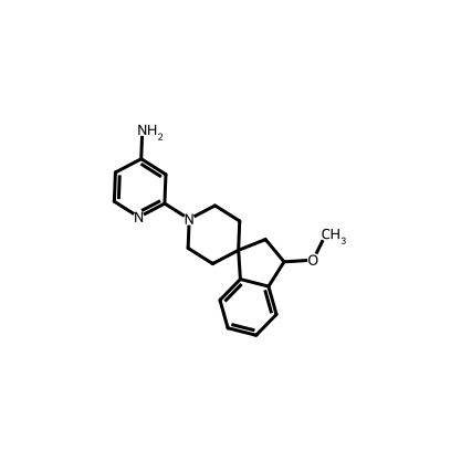 COC1CC2(CCN(c3cc(N)ccn3)CC2)c2ccccc21